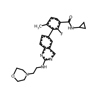 Cc1ccc(C(=O)NC2CC2)c(F)c1-c1ccc2nc(NCCN3CCOCC3)ncc2c1